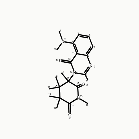 Cc1nc2cccc(N(C)C)c2c(=O)n1C1(C)C(=O)N(C)C(=O)C(C)(C)C1(C)C